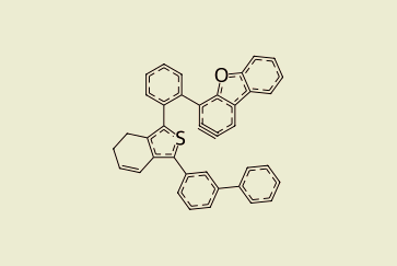 c1cc2c(oc3ccccc32)c(-c2ccccc2-c2sc(-c3cccc(-c4ccccc4)c3)c3c2CCC=C3)c#1